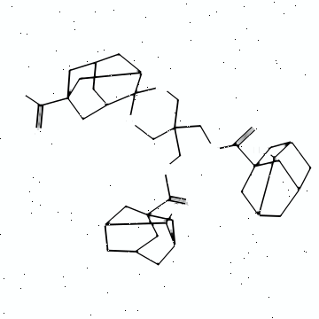 O=C(O)C12CC3CC(C1)C1(OCC(COC(=O)C45CC6CC(C4)C(O)C(C6)C5)(COC(=O)C45CC6CC(C4)C(O)C(C6)C5)CO1)C(C3)C2